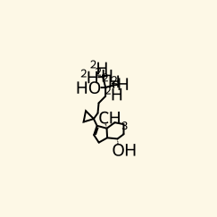 [2H]C([2H])([2H])C(O)(CCCC1(C2=CCC3[C@@H](O)CCC[C@]23C)CC1)C([2H])([2H])[2H]